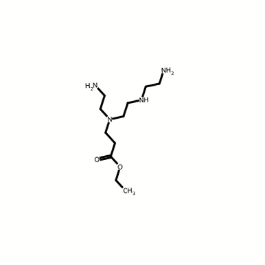 CCOC(=O)CCN(CCN)CCNCCN